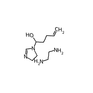 C=CCCC(O)N1C=NCC1.NCCN